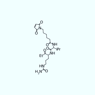 CCC(=O)C(CCCNC(N)=O)NC(=O)C(NC(=O)CCCCCN1C(=O)C=CC1=O)C(C)C